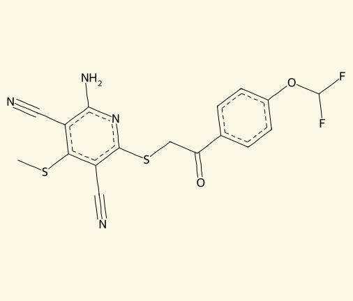 CSc1c(C#N)c(N)nc(SCC(=O)c2ccc(OC(F)F)cc2)c1C#N